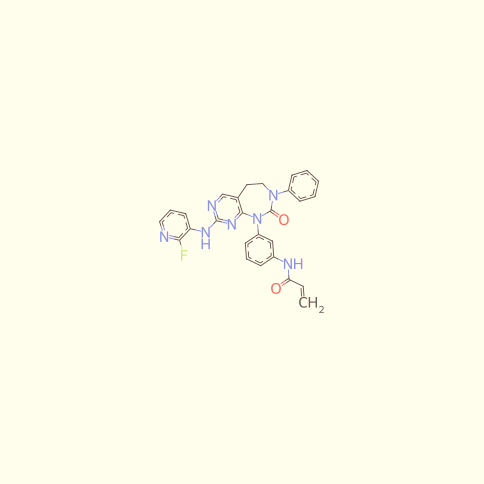 C=CC(=O)Nc1cccc(N2C(=O)N(c3ccccc3)CCc3cnc(Nc4cccnc4F)nc32)c1